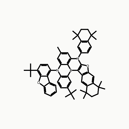 Cc1cc2c3c(c1)N(c1ccc(C(C)(C)C)c4oc5ccccc5c14)c1ccc(C(C)(C)C)cc1B3c1c(oc3cc4c(cc13)C(C)(C)CCC4(C)C)N2c1ccc2c(c1)C(C)(C)CCC2(C)C